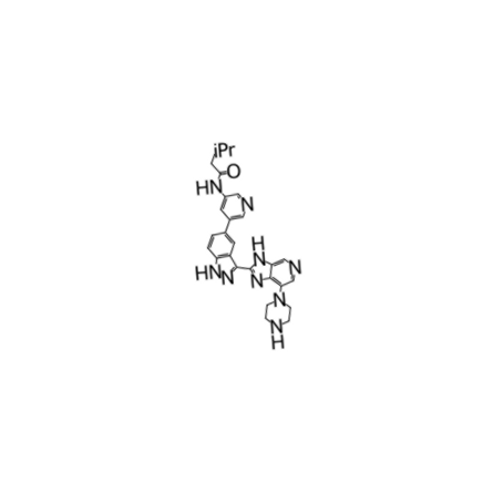 CC(C)CC(=O)Nc1cncc(-c2ccc3[nH]nc(-c4nc5c(N6CCNCC6)cncc5[nH]4)c3c2)c1